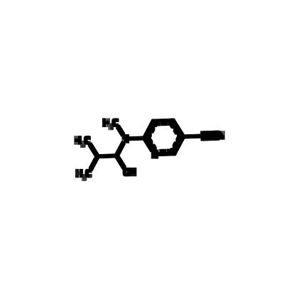 CC(C)C(O)N(C)c1ccc(C#N)cn1